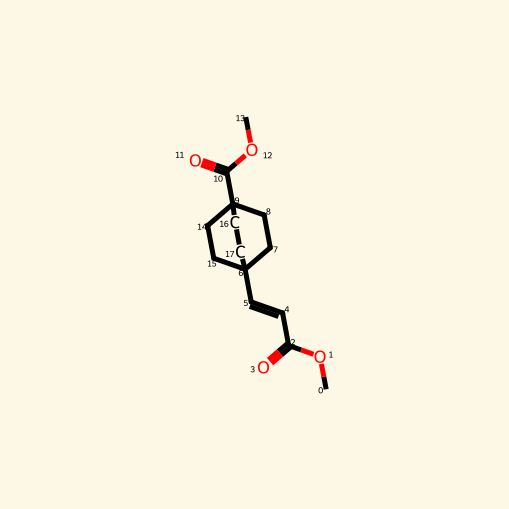 COC(=O)C=CC12CCC(C(=O)OC)(CC1)CC2